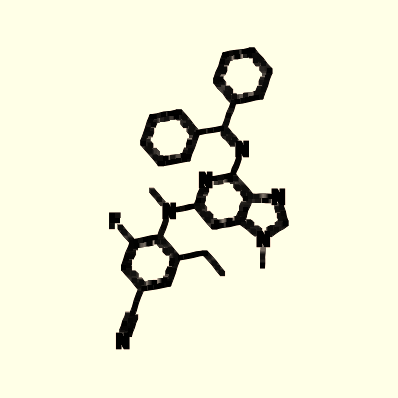 CCc1cc(C#N)cc(F)c1N(C)c1cc2c(ncn2C)c(N=C(c2ccccc2)c2ccccc2)n1